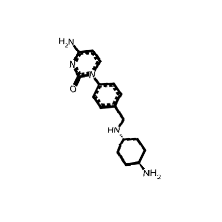 Nc1ccn(-c2ccc(CN[C@H]3CC[C@H](N)CC3)cc2)c(=O)n1